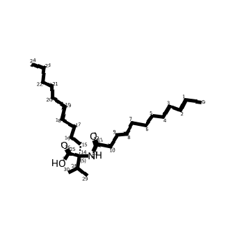 CCCCCCCCCCCC(=O)N[C@](CCCCCCCCCC)(C(=O)O)C(C)C